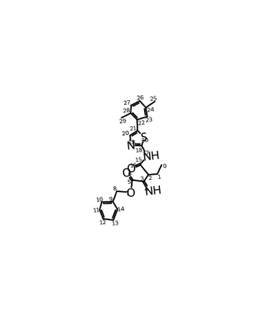 CCC(C(=N)C(=O)OCc1ccccc1)C(=O)Nc1ncc(-c2cc(C)ccc2C)s1